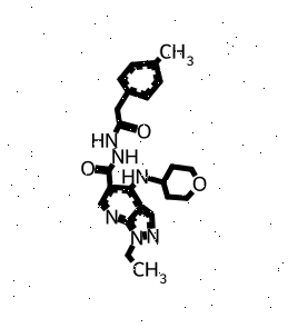 CCn1ncc2c(NC3CCOCC3)c(C(=O)NNC(=O)Cc3ccc(C)cc3)cnc21